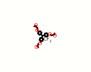 FC(F)(F)c1cc(OCC2CO2)ccc1C(c1ccc(OCC2CO2)cc1)c1ccc(OCC2CO2)cc1